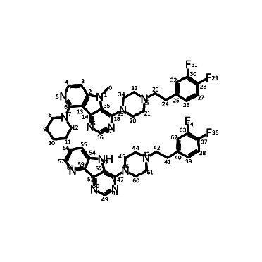 Cn1c2ccnc(N3CCCCC3)c2c2ncnc(N3CCN(CCc4ccc(F)c(F)c4)CC3)c21.Fc1ccc(CCN2CCN(c3ncnc4c3[nH]c3cccnc34)CC2)cc1F